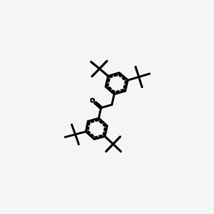 CC(C)(C)c1cc(CC(=O)c2cc(C(C)(C)C)cc(C(C)(C)C)c2)cc(C(C)(C)C)c1